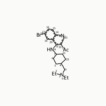 CCN(CC)CC1CCC(Nc2c(C(C)=O)cnc3ccc(Br)cc23)CC1